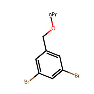 CCCOCc1cc(Br)cc(Br)c1